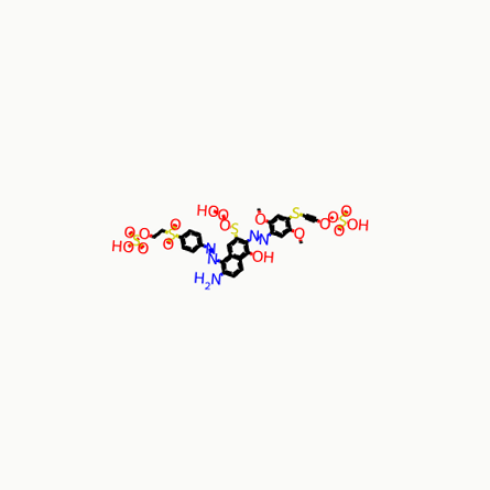 COc1cc(SC#COOS(=O)(=O)O)c(OC)cc1N=Nc1c(SOOO)cc2c(N=Nc3ccc(S(=O)(=O)CCOS(=O)(=O)O)cc3)c(N)ccc2c1O